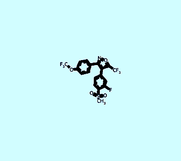 CS(=O)(=O)c1ccc(-c2c(-c3ccc(OC(F)(F)F)cc3)noc2C(F)(F)F)cc1F